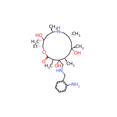 CC[C@H]1OC(=O)C(C)[C@@](O)(CNCc2ccccc2N)[C@H](C)C[C@@](C)(O)C[C@@H](C)CN[C@H](C)C[C@]1(C)O